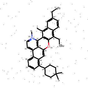 Cc1c2c(c(CC(C)(C)C)c3ccc(CC(C)C)cc13)Oc1cc3c(C4CCC(C)(C)CC4)cccc3c3cc[n+](C)c-2c13